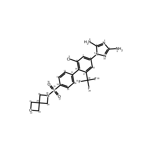 Nc1nc(N)n(-c2cc(Cl)c(-c3ccc(S(=O)(=O)N4CC5(COC5)C4)cc3)c(C(F)(F)F)c2)n1